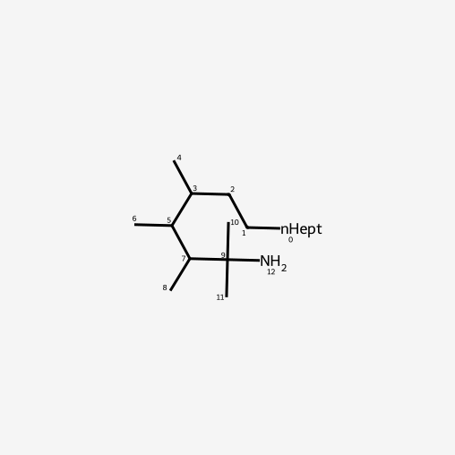 CCCCCCCCCC(C)C(C)C(C)C(C)(C)N